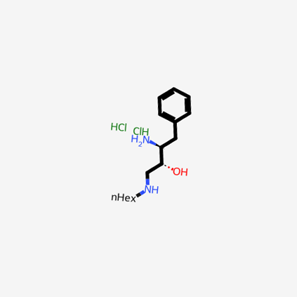 CCCCCCNC[C@@H](O)[C@@H](N)Cc1ccccc1.Cl.Cl